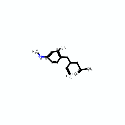 C=CC(CC(=C)C)Cc1ccc(NC)cc1C